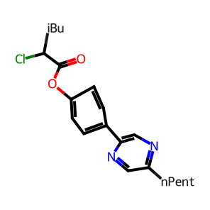 CCCCCc1cnc(-c2ccc(OC(=O)C(Cl)C(C)CC)cc2)cn1